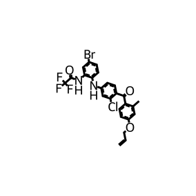 C=CCOc1ccc(C(=O)c2ccc(Nc3ccc(Br)cc3NC(=O)C(F)(F)F)cc2Cl)c(C)c1